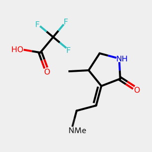 CNC/C=C1/C(=O)NCC1C.O=C(O)C(F)(F)F